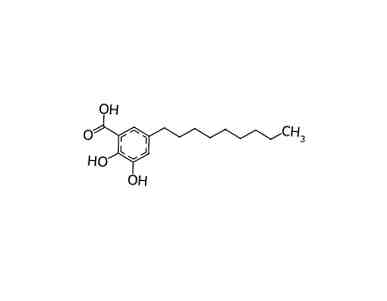 CCCCCCCCCc1cc(O)c(O)c(C(=O)O)c1